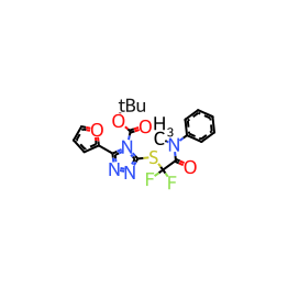 CN(C(=O)C(F)(F)Sc1nnc(-c2ccco2)n1C(=O)OC(C)(C)C)c1ccccc1